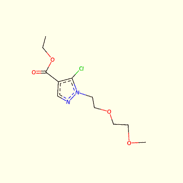 CCOC(=O)c1cnn(CCOCCOC)c1Cl